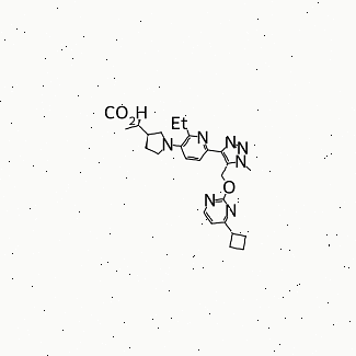 CCc1nc(-c2nnn(C)c2COc2nccc(C3CCC3)n2)ccc1N1CC[C@@H]([C@@H](C)C(=O)O)C1